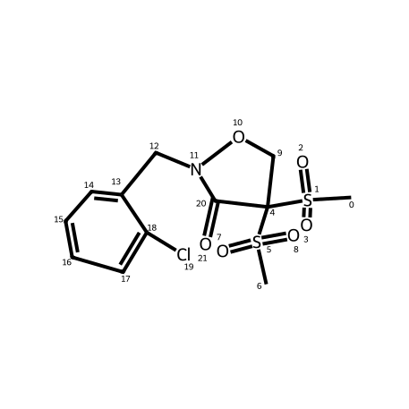 CS(=O)(=O)C1(S(C)(=O)=O)CON(Cc2ccccc2Cl)C1=O